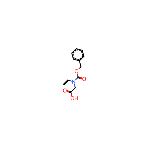 C=CN(CC(=O)O)C(=O)OCc1ccccc1